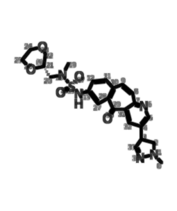 CN1CC(c2cnc3ccc4ccc(NS(=O)(=O)N(C)C[C@H]5COCCO5)cc4c(=O)c3c2)C=N1